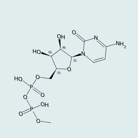 COP(=O)(O)OP(=O)(O)OC[C@@H]1O[C@H](n2ccc(N)nc2=O)[C@H](O)[C@@H]1O